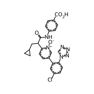 O=C(O)c1ccc(NC(=O)C(CC2CC2)c2ccc(-c3cc(Cl)ccc3-n3cnnn3)c[n+]2[O-])cc1